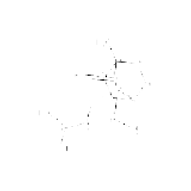 CC(C)OC[C@]1(CO)C(=O)C2(C)CCN1CC2